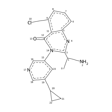 CC(N)c1nc2cccc(Cl)c2c(=O)n1-c1cncc(C2CC2)c1